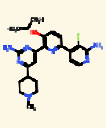 CN1CCC(c2cc(-c3nc(-c4ccnc(N)c4F)ccc3O)nc(N)n2)CC1.O=C(O)CC(=O)O